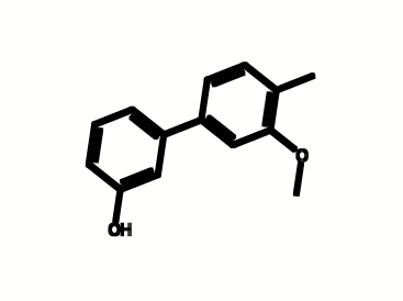 COc1cc(-c2cccc(O)c2)ccc1C